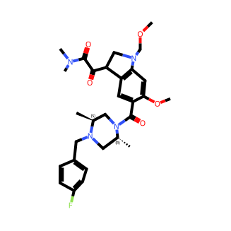 COCN1CC(C(=O)C(=O)N(C)C)c2cc(C(=O)N3C[C@H](C)N(Cc4ccc(F)cc4)C[C@H]3C)c(OC)cc21